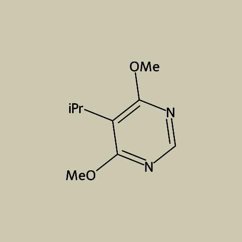 COc1ncnc(OC)c1C(C)C